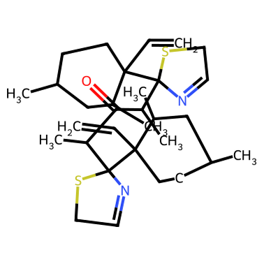 C=CC1(C2(C(C)C(=O)C(C)C3(C4(C=C)CCC(C)CC4C)N=CCS3)N=CCS2)CCC(C)CC1C